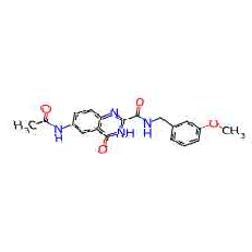 COc1cccc(CNC(=O)c2nc3ccc(NC(C)=O)cc3c(=O)[nH]2)c1